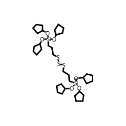 C1CCC(O[Si](CCCSSSCCC[Si](OC2CCCC2)(OC2CCCC2)OC2CCCC2)(OC2CCCC2)OC2CCCC2)C1